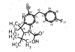 CC(C)(C)C1N(C(=O)O)c2cc(Cc3ccc(F)cc3)c(Br)nc2C1(C)C